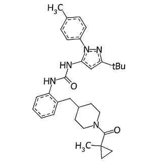 Cc1ccc(-n2nc(C(C)(C)C)cc2NC(=O)Nc2ccccc2CC2CCN(C(=O)C3(C)CC3)CC2)cc1